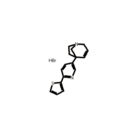 Br.C1=CC2(c3ccc(-c4cccs4)nc3)CCN(C1)C2